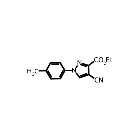 CCOC(=O)c1nn(-c2ccc(C)cc2)cc1C#N